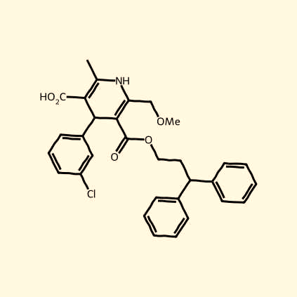 COCC1=C(C(=O)OCCC(c2ccccc2)c2ccccc2)C(c2cccc(Cl)c2)C(C(=O)O)=C(C)N1